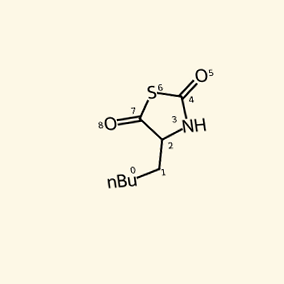 CCCCCC1NC(=O)SC1=O